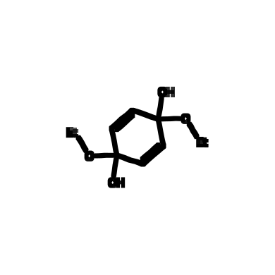 CCOC1(O)C=CC(O)(OCC)C=C1